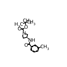 Cc1cccc(C(=O)N[C@H]2CCN(C(=O)OC(C)(C)C)C2)c1